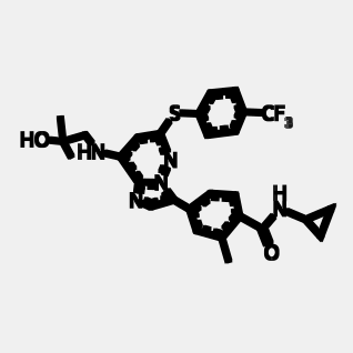 Cc1cc(-c2cnc3c(NCC(C)(C)O)cc(Sc4ccc(C(F)(F)F)cc4)nn23)ccc1C(=O)NC1CC1